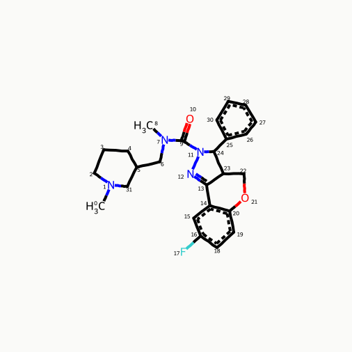 CN1CCCC(CN(C)C(=O)N2N=C3c4cc(F)ccc4OCC3C2c2ccccc2)C1